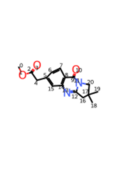 COC(=O)Cc1ccc2c(=O)n3c(nc2c1)CC(C)(C)C3